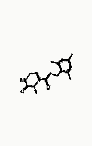 Cc1cc(C)c(CCC(=O)N2CCNC(=O)[C@@H]2C)c(C)c1